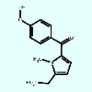 CC(C)Oc1ccc(C(=O)c2ccc(CC(=O)O)n2C)cc1